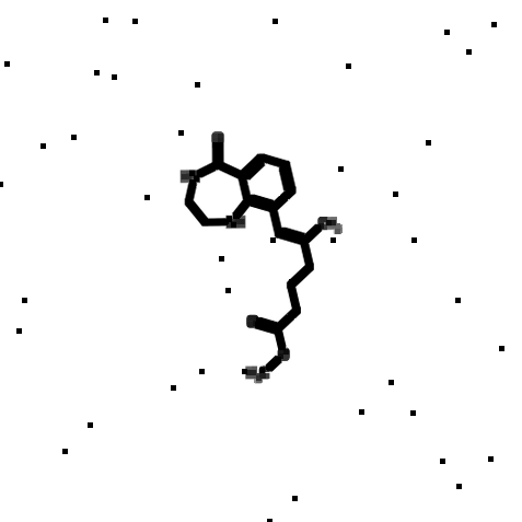 COC(=O)CCC/C(C)=C/c1cccc2c1NCCNC2=O